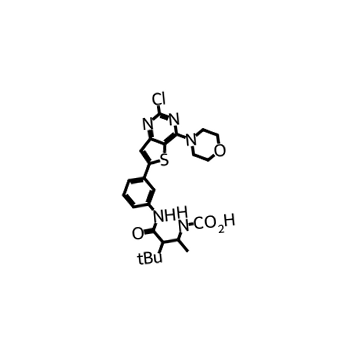 CC(NC(=O)O)C(C(=O)Nc1cccc(-c2cc3nc(Cl)nc(N4CCOCC4)c3s2)c1)C(C)(C)C